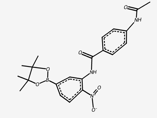 CC(=O)Nc1ccc(C(=O)Nc2cc(B3OC(C)(C)C(C)(C)O3)ccc2[N+](=O)[O-])cc1